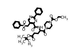 CCOC(=O)N1CCN(C(=O)C(CCC(=O)OC(C)(C)C)NC(=O)c2nc(-c3ccccc3)ncc2CS(=O)(=O)c2ccccc2)CC1